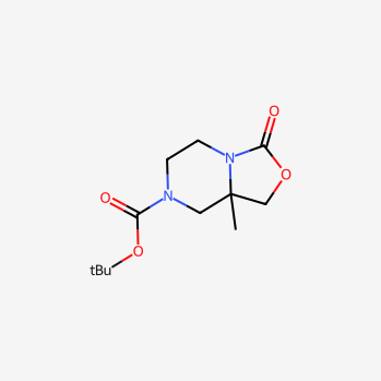 CC(C)(C)OC(=O)N1CCN2C(=O)OCC2(C)C1